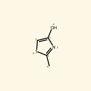 Cc1nc(O)cs1